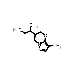 CCC(C)C1COc2c(C)cnn2C1